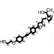 C[C@H](O)c1nccn1CC1=NOC(c2ccc(C#Cc3ccc(OCCO)cc3)cc2)C1